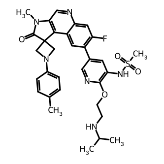 Cc1ccc(N2CC3(C2)C(=O)N(C)c2cnc4cc(F)c(-c5cnc(OCCNC(C)C)c(NS(C)(=O)=O)c5)cc4c23)cc1